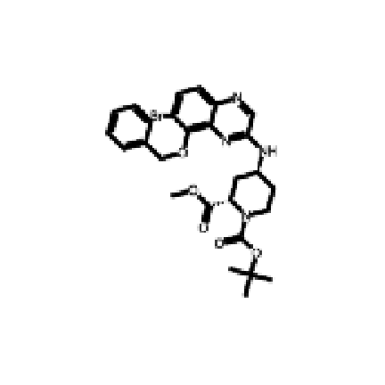 COC(=O)[C@@H]1C[C@@H](Nc2cnc3ccc(Br)c(OCc4ccccc4)c3n2)CCN1C(=O)OC(C)(C)C